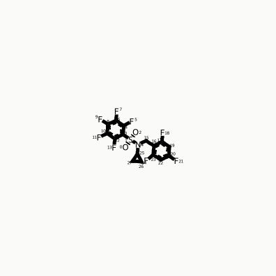 O=S(=O)(c1c(F)c(F)c(F)c(F)c1F)N(Cc1c(F)cc(F)cc1F)C1CC1